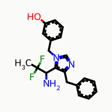 CC(F)(F)C(N)c1c(Cc2ccccc2)ncn1Cc1cccc(O)c1